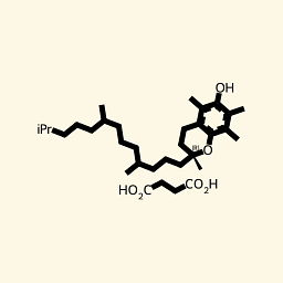 Cc1c(C)c2c(c(C)c1O)CC[C@@](C)(CCCC(C)CCCC(C)CCCC(C)C)O2.O=C(O)CCC(=O)O